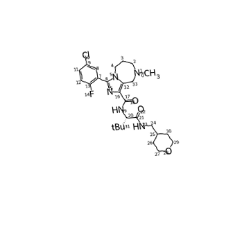 CN1CCCn2c(-c3cc(Cl)ccc3F)nc(C(=O)N[C@H](C(=O)NCC3CCOCC3)C(C)(C)C)c2C1